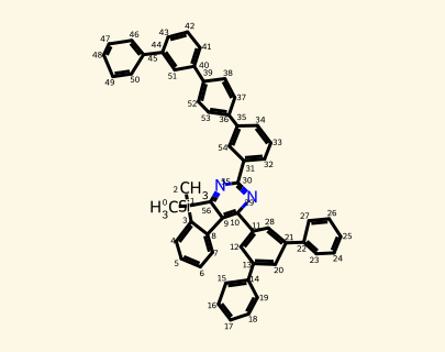 C[Si]1(C)c2ccccc2-c2c(-c3cc(-c4ccccc4)cc(-c4ccccc4)c3)nc(-c3cccc(-c4ccc(-c5cccc(-c6ccccc6)c5)cc4)c3)nc21